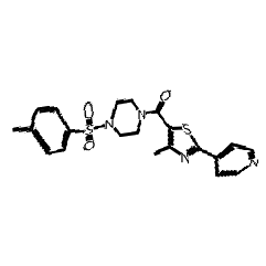 Cc1ccc(S(=O)(=O)N2CCN(C(=O)c3sc(-c4ccncc4)nc3C)CC2)cc1